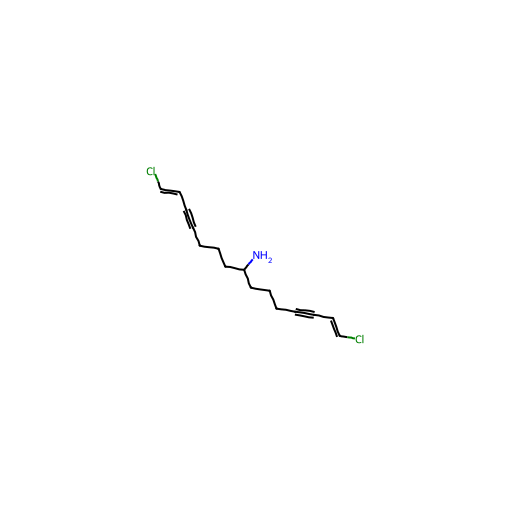 NC(CCCC#CC=CCl)CCCC#CC=CCl